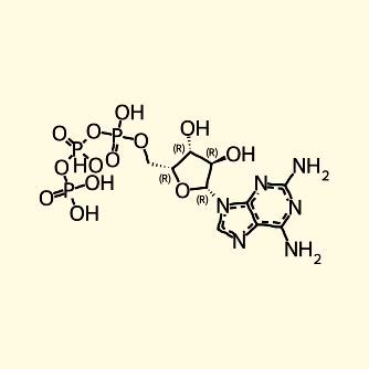 Nc1nc(N)c2ncn([C@@H]3O[C@H](COP(=O)(O)OP(=O)(O)OP(=O)(O)O)[C@H](O)[C@H]3O)c2n1